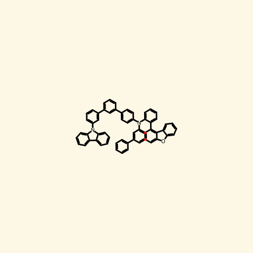 c1ccc(-c2cccc(N(c3ccc(-c4cccc(-c5cccc(-n6c7ccccc7c7ccccc76)c5)c4)cc3)c3ccccc3-c3cccc4oc5ccccc5c34)c2)cc1